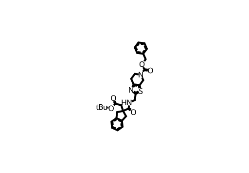 CC(C)(C)OC(=O)CC1(C(=O)NCc2nc3c(s2)CN(C(=O)OCc2ccccc2)CC3)Cc2ccccc2C1